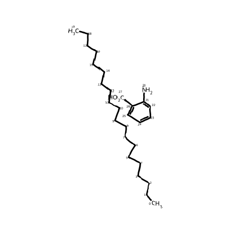 CCCCCCCCCCCCCCCCCCCC.Nc1ccccc1C(=O)O